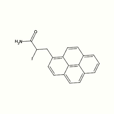 NC(=O)C(I)Cc1ccc2ccc3cccc4ccc1c2c34